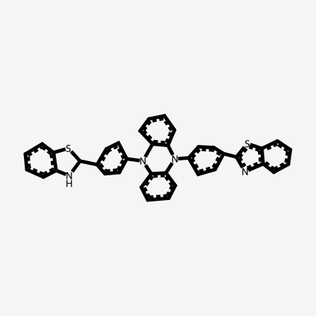 c1ccc2c(c1)NC(c1ccc(N3c4ccccc4N(c4ccc(-c5nc6ccccc6s5)cc4)c4ccccc43)cc1)S2